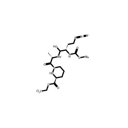 C[C@H](NC(O)[C@H](CCN=[N+]=[N-])NC(=O)OC(C)(C)C)C(=O)N1CCC[C@@H](C(=O)OCC(Cl)(Cl)Cl)N1